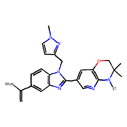 C=C(NC)c1ccc2c(c1)nc(-c1cnc3c(c1)OCC(C)(C)N3CC)n2Cc1ccn(C)n1